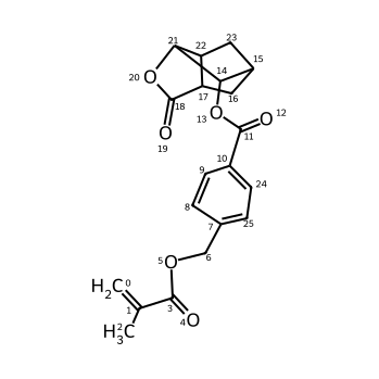 C=C(C)C(=O)OCc1ccc(C(=O)OC2C3CC4C(=O)OC2C4C3)cc1